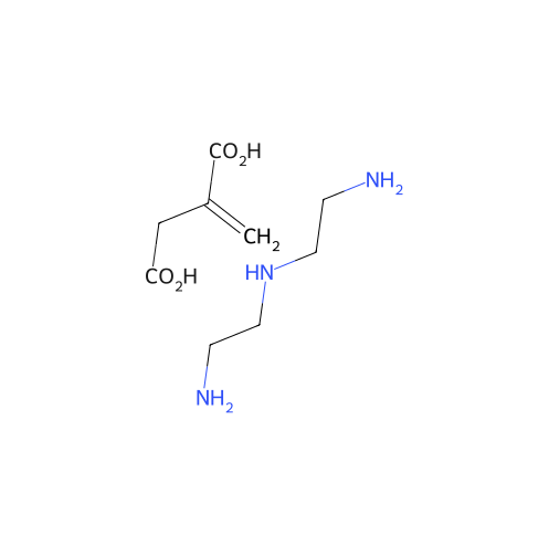 C=C(CC(=O)O)C(=O)O.NCCNCCN